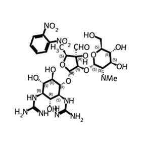 CN[C@@H]1[C@H](O[C@H]2[C@H](O[C@H]3[C@H](O)[C@@H](O)[C@H](NC(=N)N)[C@@H](O)[C@@H]3NC(=N)N)O[C@@H](C)[C@]2(O)C=O)O[C@@H](CO)[C@H](O)[C@H]1O.O=[N+]([O-])c1ccccc1[N+](=O)[O-]